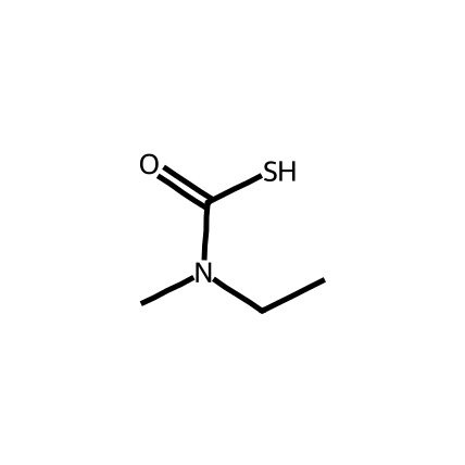 CCN(C)C(=O)S